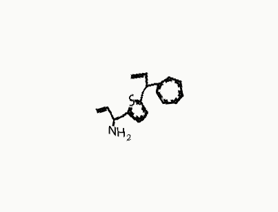 C=CC(N)c1ccc(C(C=C)c2ccccc2)s1